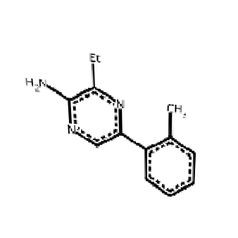 CCc1nc(-c2ccccc2C)cnc1N